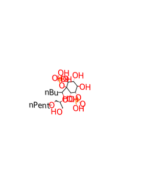 CCCCCOC[C@H](CO)OC(CCCC)[C@]1(OP(=O)(O)O)[C@@H](O)[C@H](O)[C@@H](O)[C@H](OP(=O)(O)O)[C@@H]1O